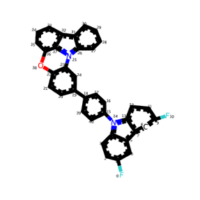 Fc1ccc2c(c1)c1cc(F)ccc1n2-c1ccc(-c2ccc3c(c2)-n2c4ccccc4c4cccc(c42)O3)cc1